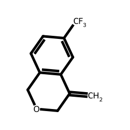 C=C1COCc2ccc(C(F)(F)F)cc21